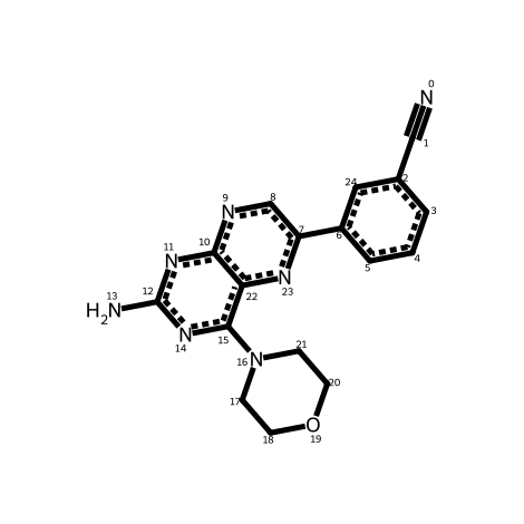 N#Cc1cccc(-c2cnc3nc(N)nc(N4CCOCC4)c3n2)c1